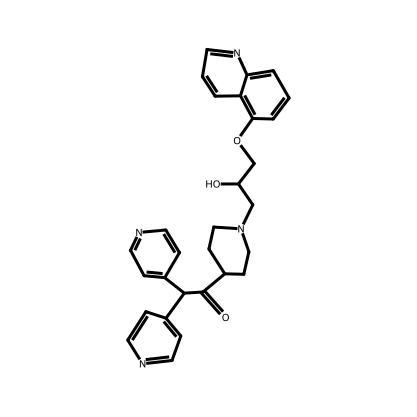 O=C(C1CCN(CC(O)COc2cccc3ncccc23)CC1)C(c1ccncc1)c1ccncc1